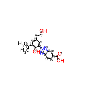 CC(C)c1cc(CCO)cc(-n2nc3ccc(C(=O)O)cc3n2)c1O